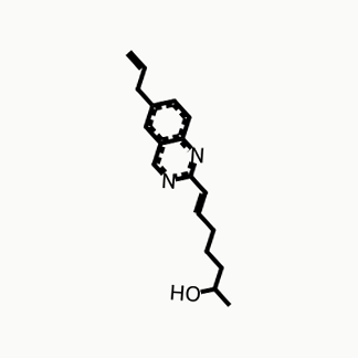 C=CCc1ccc2nc(/C=C/CCCC(C)O)ncc2c1